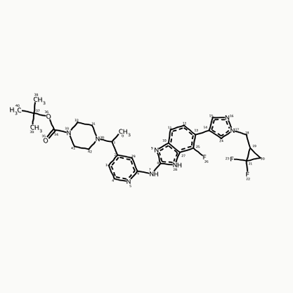 CC(c1ccnc(Nc2nc3ccc(-c4cnn(CC5CC5(F)F)c4)c(F)c3[nH]2)c1)N1CCN(C(=O)OC(C)(C)C)CC1